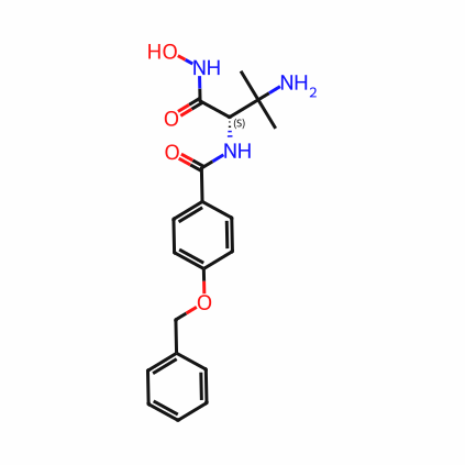 CC(C)(N)[C@H](NC(=O)c1ccc(OCc2ccccc2)cc1)C(=O)NO